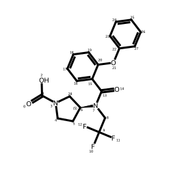 O=C(O)N1CC[C@H](N(CC(F)(F)F)C(=O)c2ccccc2Oc2ccccc2)C1